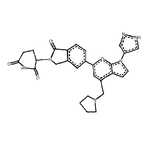 O=C1CCC(N2Cc3cc(-c4cc(CN5CCCC5)c5ccn(-c6cn[nH]c6)c5n4)ccc3C2=O)C(=O)N1